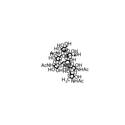 CC(=O)NC1C(O)[C@H](O)[C@H](CO)O[C@H]1O[C@@H]1C(O)[C@H](C)C(CO)O[C@@H]1OCC[C@@H](O)C(O[C@H]1O[C@H](CO)[C@@H](O)C(O)C1O[C@@H]1OC(CO)[C@@H](O)C(O)[C@@H]1NC(C)=O)[C@@H](O)[C@@H](O)O[C@@H]1C(CO)O[C@@H](O[C@@H]2C(CO)O[C@@H](C)[C@@H](NC(C)=O)C2O)[C@@H](NC(C)=O)C1O